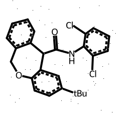 CC(C)(C)c1ccc2c(c1)C(C(=O)Nc1c(Cl)cccc1Cl)c1ccccc1CO2